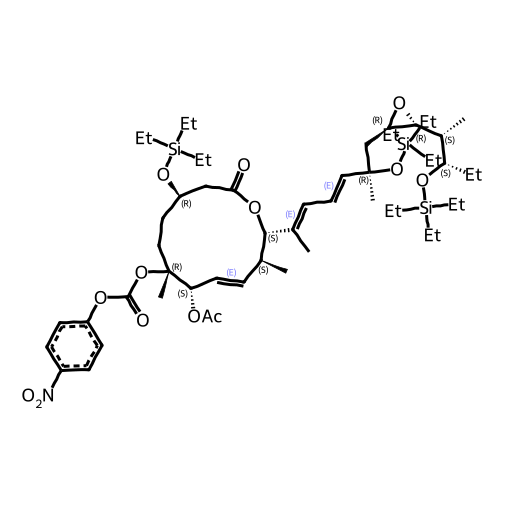 CC[C@H](O[Si](CC)(CC)CC)[C@@H](C)[C@H]1O[C@@H]1C[C@](C)(/C=C/C=C(\C)[C@H]1OC(=O)C[C@H](O[Si](CC)(CC)CC)CC[C@@](C)(OC(=O)Oc2ccc([N+](=O)[O-])cc2)[C@@H](OC(C)=O)/C=C/[C@@H]1C)O[Si](CC)(CC)CC